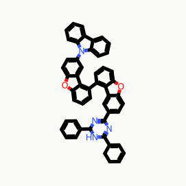 C1=CCCC(C2=NC(c3ccc4oc5cccc(-c6cccc7oc8ccc(-n9c%10ccccc%10c%10ccccc%109)cc8c67)c5c4c3)=NC(c3ccccc3)N2)=C1